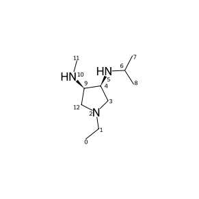 CCN1C[C@H](NC(C)C)[C@H](NC)C1